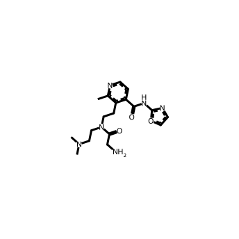 Cc1nccc(C(=O)Nc2ncco2)c1CCN(CCN(C)C)C(=O)CN